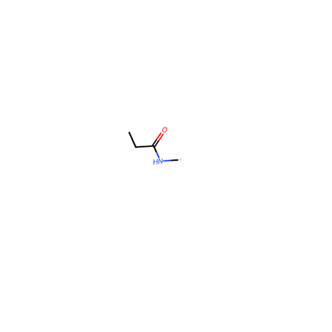 [CH2]NC(=O)CC